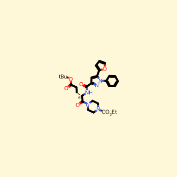 CCOC(=O)N1CCN(C(=O)[C@H](CCC(=O)OC(C)(C)C)NC(=O)c2cc(-c3ccco3)n(-c3ccccc3)n2)CC1